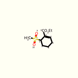 CCOC(=O)C1=CCCCC1S(C)(=O)=O